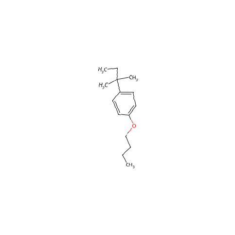 CCCCOc1ccc(C(C)(C)CC)cc1